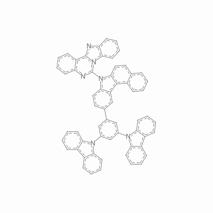 c1ccc2c(c1)ccc1c2c2cc(-c3cc(-n4c5ccccc5c5ccccc54)cc(-n4c5ccccc5c5ccccc54)c3)ccc2n1-c1nc2ccccc2c2nc3ccccc3n12